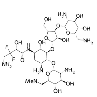 CNC[C@H]1O[C@H](O[C@H]2[C@H](O[C@@H]3O[C@H](CO)[C@@H](O[C@H]4O[C@@H](CN)[C@@H](O)[C@H](O)[C@H]4N)[C@H]3O)[C@@H](O)[C@H](NC(=O)[C@@H](O)C(F)(F)CN)C[C@@H]2N)[C@H](N)[C@@H](O)[C@@H]1O